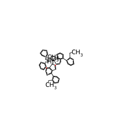 CCc1ccccc1-c1cccc2c1C=C[CH]2[Hf]([CH3])([CH3])([CH]1C=Cc2c(-c3ccccc3CC)cccc21)=[Si](c1ccccc1)c1ccccc1